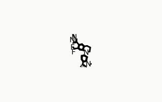 C[C@@H]1CN(C)c2cc(N3CCCc4cc(-c5cnn(C)c5)c(C(F)F)cc43)ccc21